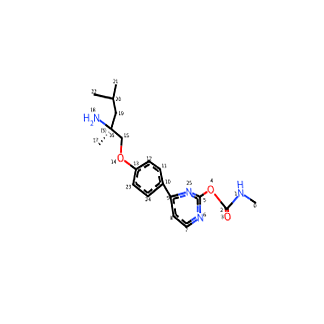 CNC(=O)Oc1nccc(-c2ccc(OC[C@@](C)(N)CC(C)C)cc2)n1